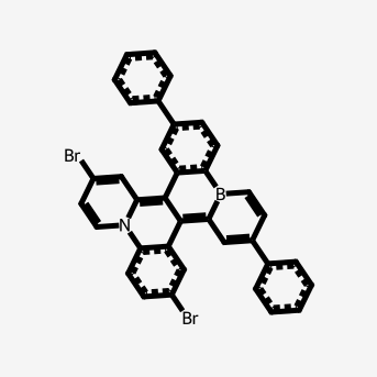 BrC1=CC2=C3C(=C4C=C(c5ccccc5)C=CB4c4ccc(-c5ccccc5)cc43)c3cc(Br)ccc3N2C=C1